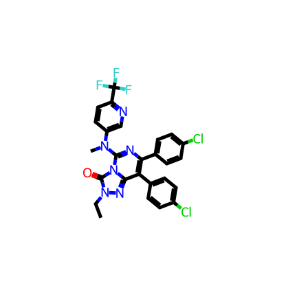 CCn1nc2c(-c3ccc(Cl)cc3)c(-c3ccc(Cl)cc3)nc(N(C)c3ccc(C(F)(F)F)nc3)n2c1=O